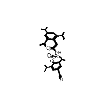 CC(C)c1cc(C(C)C)c(CC(=O)NS(=O)(=O)Oc2c(C(C)C)cc(C#N)cc2C(C)C)c(C(C)C)c1